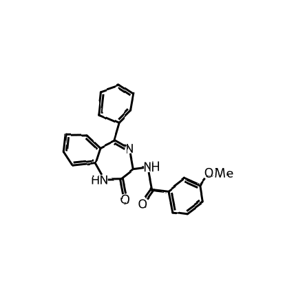 COc1cccc(C(=O)NC2N=C(c3ccccc3)c3ccccc3NC2=O)c1